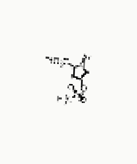 CCOC(=O)[C@@H]1CC(OS(C)(=O)=O)CN1C(C)=O